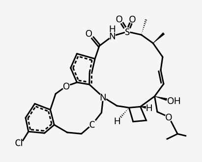 CC(C)OC[C@@]1(O)/C=C/C[C@H](C)[C@@H](C)S(=O)(=O)NC(=O)c2ccc3c(c2)N(CCCCc2cc(Cl)ccc2CO3)C[C@@H]2CC[C@H]21